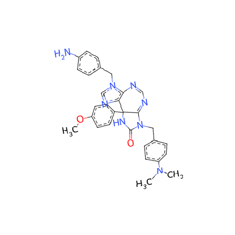 COc1ccc(C23NC(=O)N(Cc4ccc(N(C)C)cc4)C2=NC=Nc2c3ncn2Cc2ccc(N)cc2)cc1